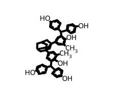 Cc1cc(C23CC4CC(C2)CC(c2cc(C)c(O)c(C(c5ccc(O)cc5)c5ccc(O)cc5)c2)(C4)C3)cc(C(c2ccc(O)cc2)c2ccc(O)cc2)c1O